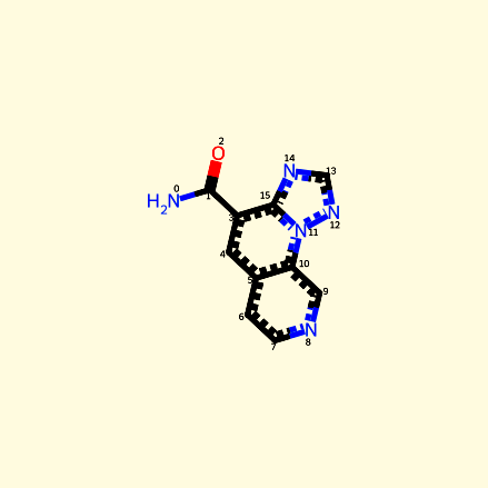 NC(=O)c1cc2ccncc2n2ncnc12